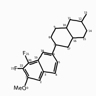 COc1cc2ccc(C3CCC4CC(C)CCC4C3)cc2c(F)c1F